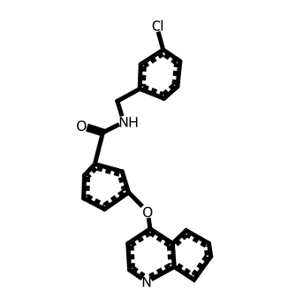 O=C(NCc1cccc(Cl)c1)c1cccc(Oc2ccnc3ccccc23)c1